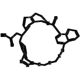 O=C(O)CC1c2ccc3c(c2)CN(CC3)C(=O)c2ccc(c3ccccc23)OCCCCCn2nnc3cc1ccc32